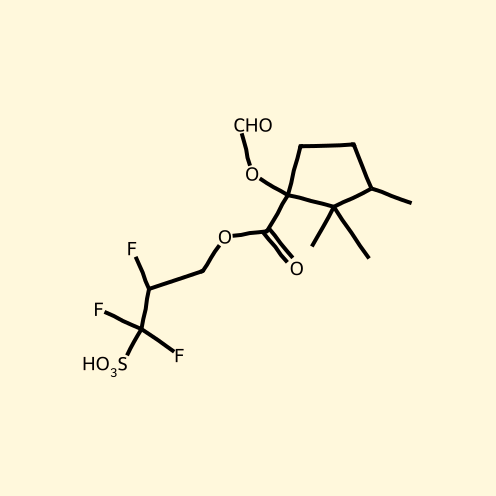 CC1CCC(OC=O)(C(=O)OCC(F)C(F)(F)S(=O)(=O)O)C1(C)C